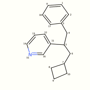 c1ccc(C[C](CC2CCC2)c2cccnc2)cc1